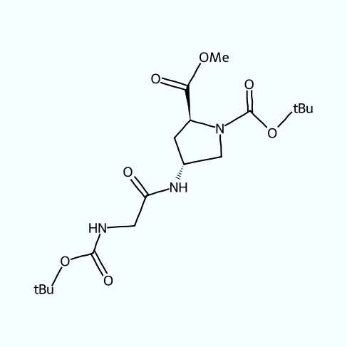 COC(=O)[C@@H]1C[C@@H](NC(=O)CNC(=O)OC(C)(C)C)CN1C(=O)OC(C)(C)C